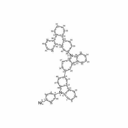 N#Cc1ccc(-n2c3ccccc3c3cc(-c4ccc5c(c4)c4ccccc4n5-c4ccc5c6ccccc6c6ccccc6c5c4)ccc32)cc1